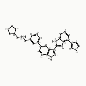 c1cc(-c2cncc3[nH]c(-c4n[nH]c5ncc(-c6cncc(CNCC7CCCC7)c6)cc45)nc23)cs1